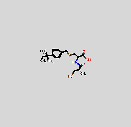 CCC(C)(C)c1ccc(CSC[C@H](NC(=O)[C@H](C)CS)C(=O)O)cc1